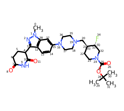 Cn1nc(C2CCC(=O)NC2=O)c2ccc(N3CCN(C[C@@H]4CCN(C(=O)OC(C)(C)C)C[C@H]4F)CC3)cc21